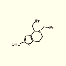 C[C](C)CN1CCc2sc(C=O)cc2C1CC(C)C